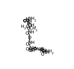 CCCCc1nc2c(N)nc3ccccc3c2n1CC(C)(C)COCCNC(=O)CCOCCCNC(=O)CC[C@H](NC(=O)c1ccc(NCc2cnc3nc(N)[nH]c(=O)c3n2)cc1)C(=O)O